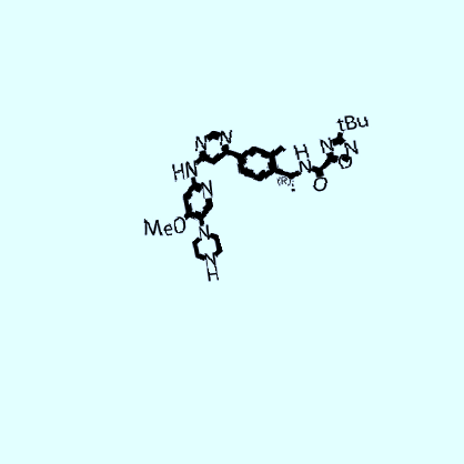 COc1cc(Nc2cc(-c3ccc([C@@H](C)NC(=O)c4nc(C(C)(C)C)no4)c(C)c3)ncn2)ncc1N1CCNCC1